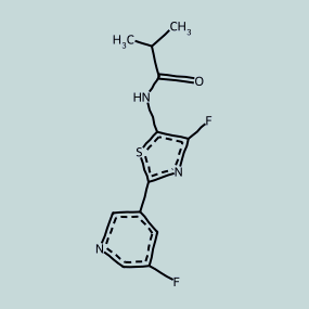 CC(C)C(=O)Nc1sc(-c2cncc(F)c2)nc1F